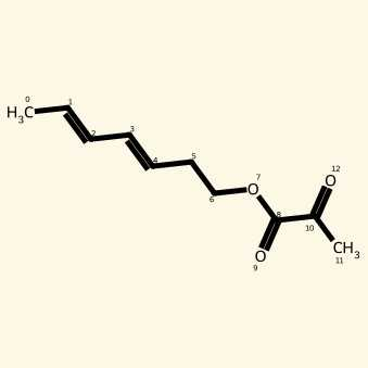 CC=CC=CCCOC(=O)C(C)=O